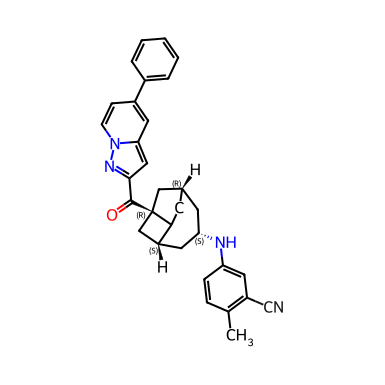 Cc1ccc(N[C@H]2C[C@@H]3CC4[C@H](C2)C[C@]4(C(=O)c2cc4cc(-c5ccccc5)ccn4n2)C3)cc1C#N